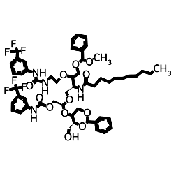 CCCCCCCCCCC(=O)N[C@H](CO[C@H](COC(=O)Nc1cccc(C(F)(F)F)c1)OC1COC(c2ccccc2)O[C@@H]1CO)C(COC(OC)c1ccccc1)OCCNC(=O)Nc1cccc(C(F)(F)F)c1